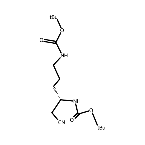 CC(C)(C)OC(=O)NCCC[C@@H](CC#N)NC(=O)OC(C)(C)C